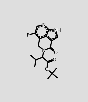 CC(C)C(C(=O)OC(C)(C)C)N1Cc2c(F)cnc3[nH]cc(c23)C1=O